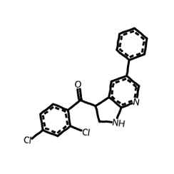 O=C(c1ccc(Cl)cc1Cl)C1CNc2ncc(-c3ccccc3)cc21